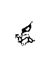 Fc1cc(F)c(-c2c(Cl)nc3ncnn3c2NCc2ccc(Cl)cc2)c(F)c1